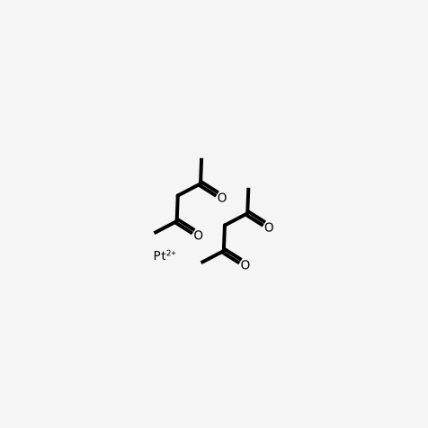 CC(=O)CC(C)=O.CC(=O)CC(C)=O.[Pt+2]